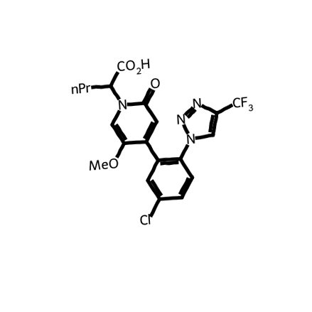 CCCC(C(=O)O)n1cc(OC)c(-c2cc(Cl)ccc2-n2cc(C(F)(F)F)nn2)cc1=O